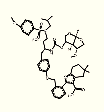 COc1ccc(S(=O)(=O)N(CC(C)C)C[C@@H](O)[C@H](Cc2ccc(OCc3ccccc3-c3sc4c(c3C(=O)O)CC(C)(C)CC4)cc2)NC(=O)OC2CO[C@H]3OC[C@H](OC)[C@@H]23)cc1